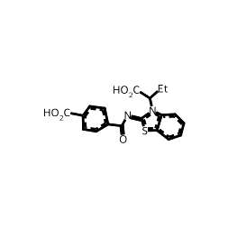 CCC(C(=O)O)n1c(=NC(=O)c2ccc(C(=O)O)cc2)sc2ccccc21